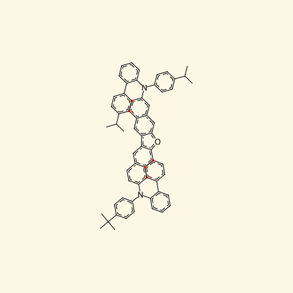 CC(C)c1ccc(-c2ccccc2N(c2ccc(C(C)C)cc2)c2ccc3cc4c(cc3c2)oc2cc3cc(N(c5ccc(C(C)(C)C)cc5)c5ccccc5-c5ccccc5)ccc3cc24)cc1